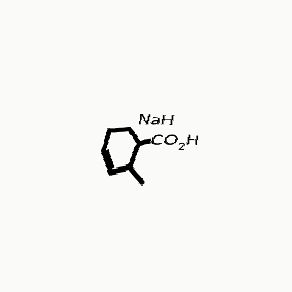 CC1C=CCCC1C(=O)O.[NaH]